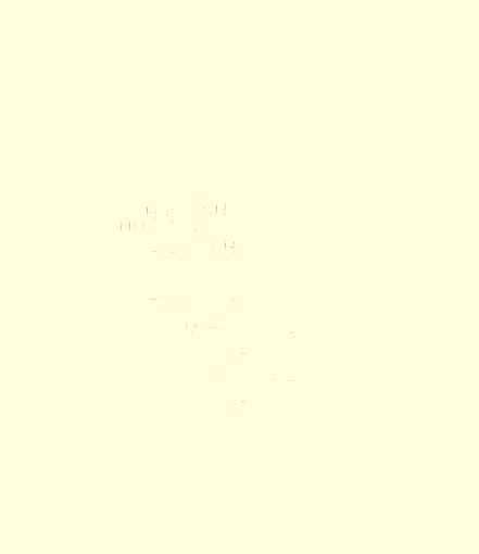 CC(C)(C)c1cc(OC(=O)c2cccc3ccccc23)ccc1O